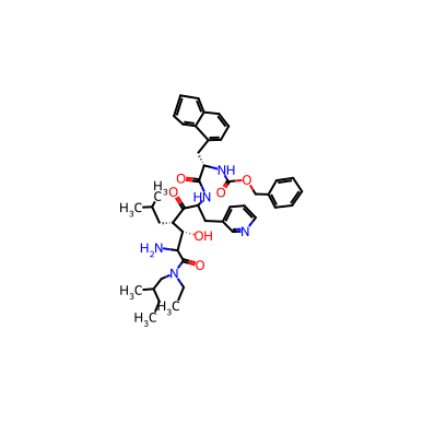 CCC(C)CN(CC)C(=O)C(N)[C@@H](O)[C@H](CC(C)C)C(=O)C(Cc1cccnc1)NC(=O)[C@H](Cc1cccc2ccccc12)NC(=O)OCc1ccccc1